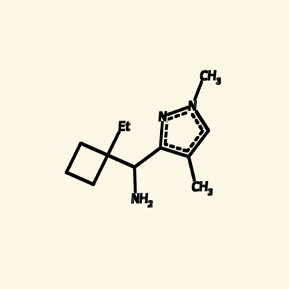 CCC1(C(N)c2nn(C)cc2C)CCC1